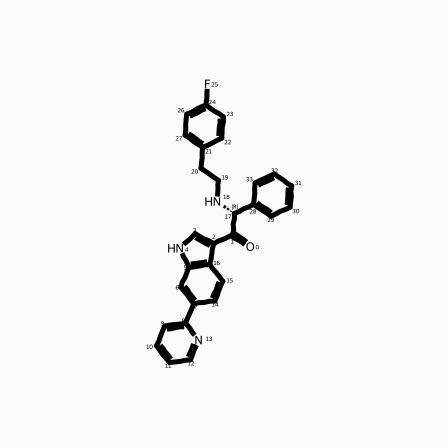 O=C(c1c[nH]c2cc(-c3ccccn3)ccc12)[C@H](NCCc1ccc(F)cc1)c1ccccc1